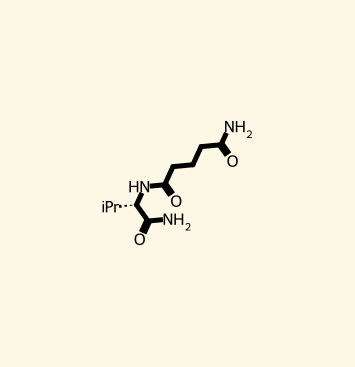 CC(C)[C@H](NC(=O)CCCC(N)=O)C(N)=O